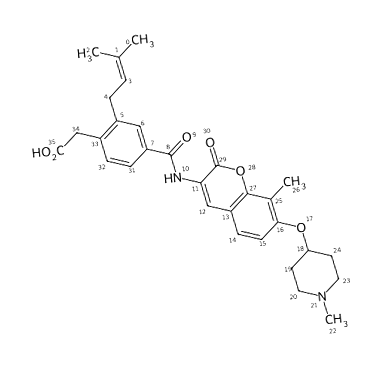 CC(C)=CCc1cc(C(=O)Nc2cc3ccc(OC4CCN(C)CC4)c(C)c3oc2=O)ccc1CC(=O)O